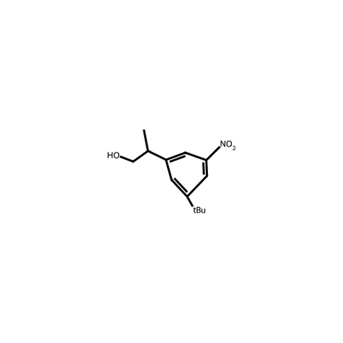 C[C](CO)c1cc([N+](=O)[O-])cc(C(C)(C)C)c1